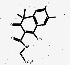 CC1(C)C(=O)C(C(=O)NCC(=O)O)=C(O)c2cc(F)c(Cl)cc21